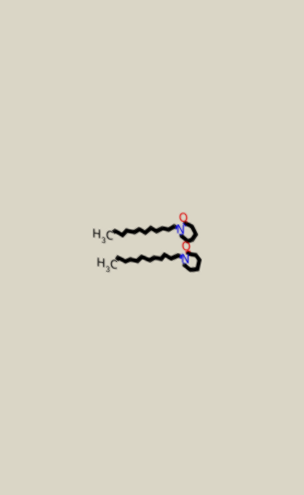 CCCCCCCCCCCCN1CCCCCC1=O.CCCCCCCCCCCCN1CCCCCC1=O